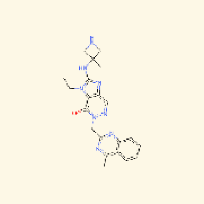 CCn1c(NC2(C)CNC2)nc2cnn(Cc3nc(C)c4ccccc4n3)c(=O)c21